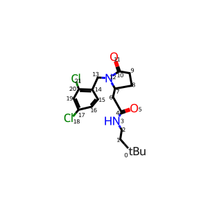 CC(C)(C)CCNC(=O)CC1CCC(=O)N1Cc1ccc(Cl)cc1Cl